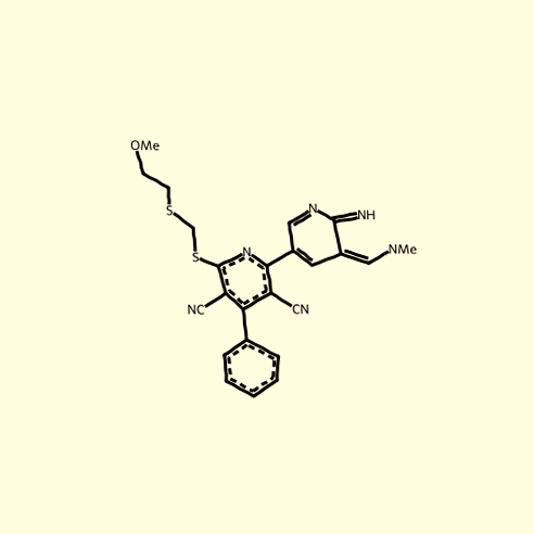 CN/C=C1/C=C(c2nc(SCSCCOC)c(C#N)c(-c3ccccc3)c2C#N)C=NC1=N